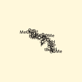 COC(=O)N[C@H](C(=O)N1CCC[C@H]1C(=O)Nc1ccc([C@H]2[C@@H](OC)[C@H](OC)[C@H](c3ccc(NC(=O)[C@@H]4CCCN4C(=O)[C@@H](NC(=O)OC)C(C)(C)C)cc3)N2c2ccc(F)cc2)cc1)C(C)(C)C